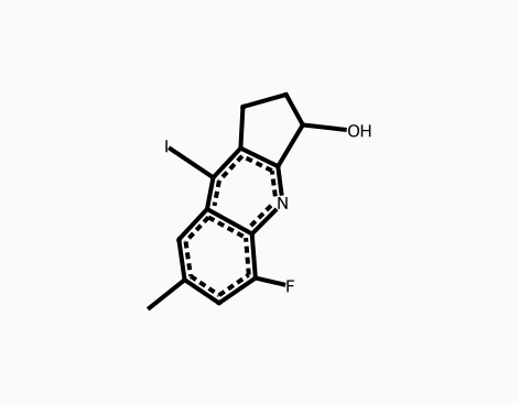 Cc1cc(F)c2nc3c(c(I)c2c1)CCC3O